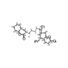 CCN(CCC[C@H](C)c1cc2ccccc2oc1=O)c1cc(C(C)C)c2ccc(=O)oc2c1